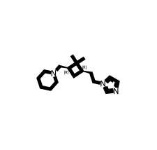 CC1(C)[C@@H](CCn2ccnc2)C[C@H]1CN1CCCCC1